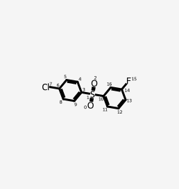 O=S(=O)(c1ccc(Cl)cc1)c1cccc(F)c1